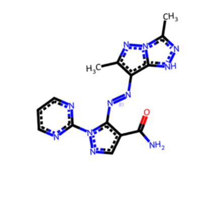 Cc1nn2c(C)n[nH]c2c1/N=N/c1c(C(N)=O)cnn1-c1ncccn1